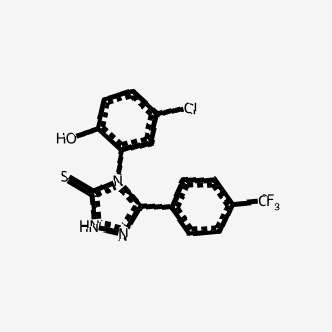 Oc1ccc(Cl)cc1-n1c(-c2ccc(C(F)(F)F)cc2)n[nH]c1=S